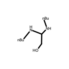 CCCCNC(CO)NCCCC